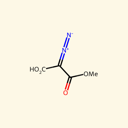 COC(=O)C(=[N+]=[N-])C(=O)O